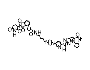 CN(C)C(=O)c1cc2cnc(Nc3ccc(N4CCN(CCCCCNC(=O)COc5cccc6c5C(=O)N(C5CCC(=O)NC5=O)C6=O)CC4)cn3)nc2n1C1CCCC1